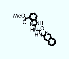 COC(=O)c1cccc2[nH]c(NC(=O)Nc3cc4ccccc4cn3)nc12